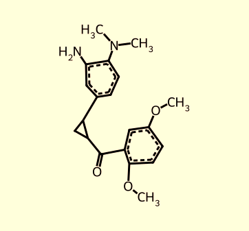 COc1ccc(OC)c(C(=O)C2CC2c2ccc(N(C)C)c(N)c2)c1